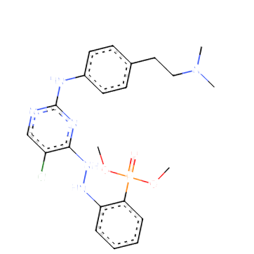 COP(=O)(OC)c1ccccc1NNc1nc(Nc2ccc(CCN(C)C)cc2)ncc1Cl